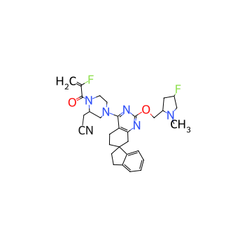 C=C(F)C(=O)N1CCN(c2nc(OCC3CC(F)CN3C)nc3c2CCC2(CCc4ccccc42)C3)CC1CC#N